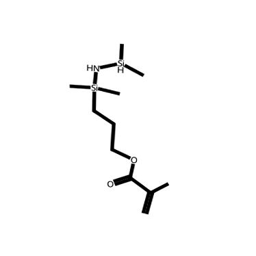 C=C(C)C(=O)OCCC[Si](C)(C)N[SiH](C)C